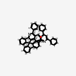 c1ccc(-c2cc(-c3ccccc3)nc(-c3ccc4c(c3)C3(c5ccccc5-4)c4ccccc4-c4nc(-c5ccccc5)c5ccccc5c43)n2)cc1